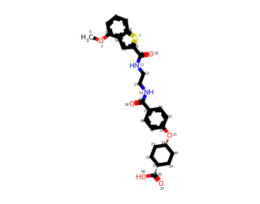 COc1cccc2sc(C(=O)NCCNC(=O)c3ccc(O[C@H]4CC[C@@H](C(=O)O)CC4)cc3)cc12